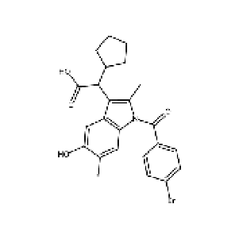 Cc1c(C(C(=O)O)C2CCCC2)c2cc(O)c(F)cc2n1C(=O)c1ccc(Br)cc1